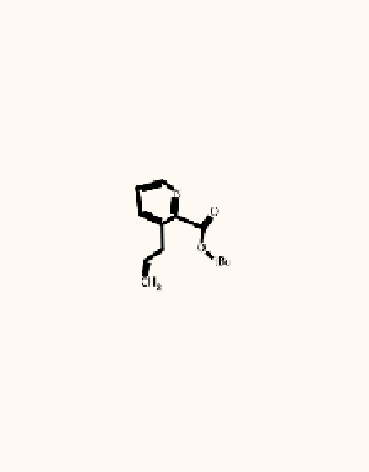 C=CCc1cccnc1C(=O)OC(C)(C)C